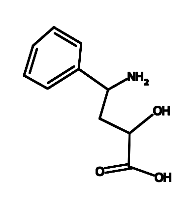 NC(CC(O)C(=O)O)c1ccccc1